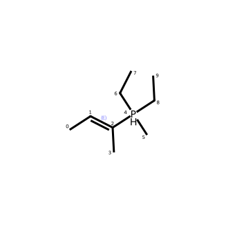 C/C=C(\C)[PH](C)(CC)CC